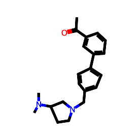 CC(=O)c1cccc(-c2ccc(CN3CCC(N(C)C)C3)cc2)c1